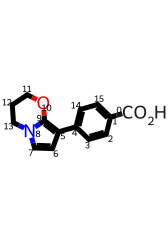 O=C(O)c1ccc(-c2ccn3c2OCCC3)cc1